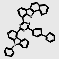 c1ccc(-c2ccc(-c3nc(-c4cccc5c4sc4c6ccccc6ccc54)nc(-c4cccc5c4c4ccccc4n5-c4ccccc4)n3)cc2)cc1